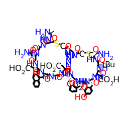 C[C@H](N)C(=O)N[C@H]1CSCCC(=O)N2CCN3C[N@](C2)NN(C(=O)[C@H](C)NC(=O)[C@@H](C)NC(=O)[C@H](Cc2cccc4ccccc24)NC(=O)[C@H](CCC(=O)O)NC(=O)[C@H](CC(N)=O)NC(=O)[C@@H](C)NC1=O)[C@@H](CCC(=O)O)C(=O)N[C@@H](CC(=O)O)C(=O)N[C@@H](Cc1ccccc1)C(=O)N[C@@H](Cc1ccc(O)cc1)C(=O)NC(CC(=O)O)C(=O)N[C@@H](C(C)(C)C)C(=O)N[C@H](C(N)=O)CSCCC3=O